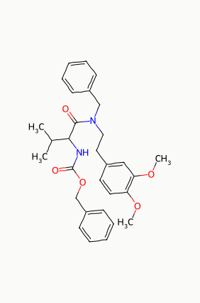 COc1ccc(CCN(Cc2ccccc2)C(=O)C(NC(=O)OCc2ccccc2)C(C)C)cc1OC